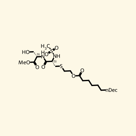 CCCCCCCCCCCCCCCC(=O)OCCSC[C@@H](NS(C)(=O)=O)C(=O)N[C@@H](CO)C(=O)OC